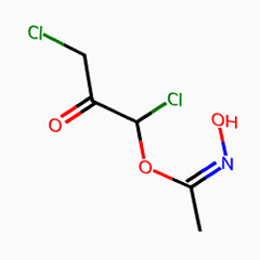 CC(=NO)OC(Cl)C(=O)CCl